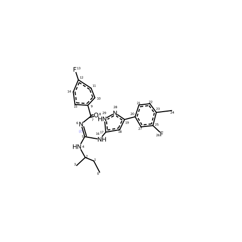 CCC(C)N/C(=N/C(=O)c1ccc(F)cc1)Nc1cc(-c2ccc(C)c(F)c2)n[nH]1